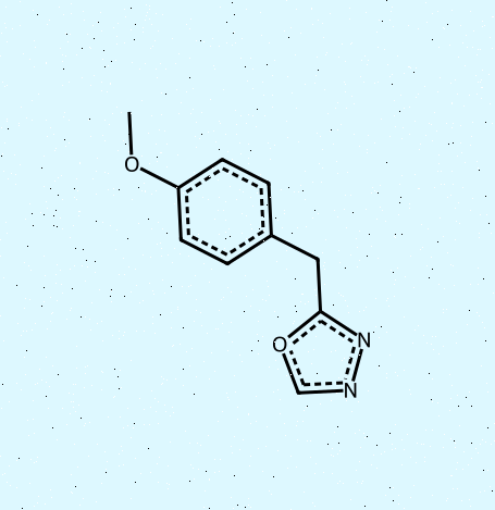 COc1ccc(Cc2nnco2)cc1